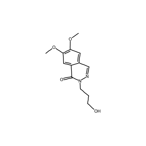 COc1cc2cnn(CCCO)c(=O)c2cc1OC